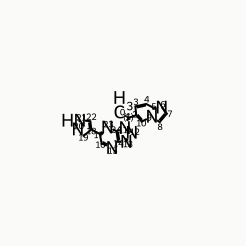 C[C@@H](c1ccc2nccn2c1)n1nnc2ncc(-c3cn[nH]c3)nc21